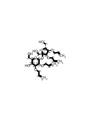 C=CCO[C@@H]1[C@@H](CO)O[C@@](CO)(O[C@H]2O[C@H](CO)[C@@H](O)[C@H](OCC=C)[C@H]2OCC=C)[C@H]1OCC=C